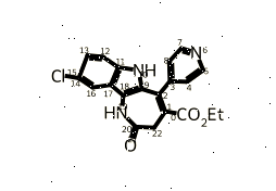 CCOC(=O)C1=C(c2ccncc2)c2[nH]c3ccc(Cl)cc3c2NC(=O)C1